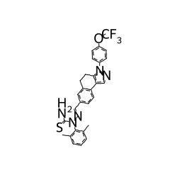 Cc1cccc(C)c1N(/N=C/c1ccc2c(c1)CCc1c-2cnn1-c1ccc(OC(F)(F)F)cc1)C(N)=S